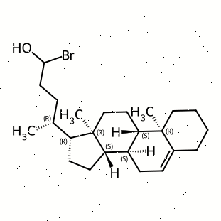 C[C@H](CCC(O)Br)[C@H]1CC[C@H]2[C@@H]3CC=C4CCCC[C@]4(C)[C@H]3CC[C@]12C